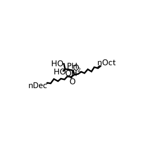 CCCCCCCC/C=C\CCCCCCC(C(=O)CCCCCCCCCCCCCCCCC)C(=O)C(O)(P)C(O)CO